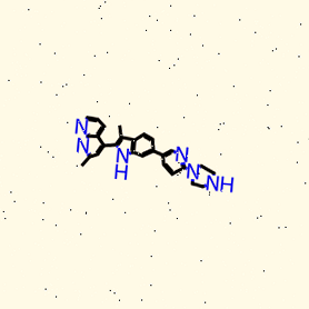 Cc1cc(-c2[nH]c3cc(-c4ccc(N5CCNCC5)nc4)ccc3c2C)c2cccnc2n1